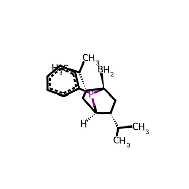 B[C@]12C[C@H](C(C)C)[C@@H](C[C@@H]1C(C)C)P2c1ccccc1